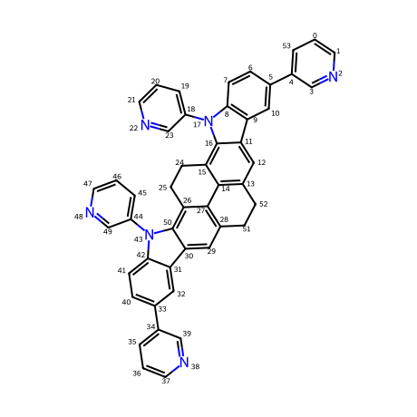 c1cncc(-c2ccc3c(c2)c2cc4c5c(c2n3-c2cccnc2)CCc2c-5c(cc3c5cc(-c6cccnc6)ccc5n(-c5cccnc5)c23)CC4)c1